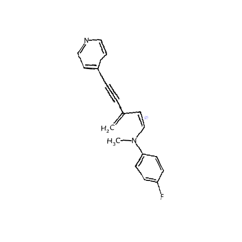 C=C(C#Cc1ccncc1)/C=C\N(C)c1ccc(F)cc1